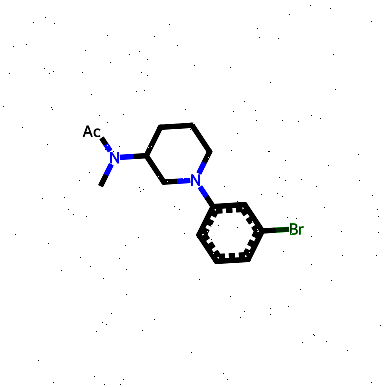 CC(=O)N(C)C1CCCN(c2cccc(Br)c2)C1